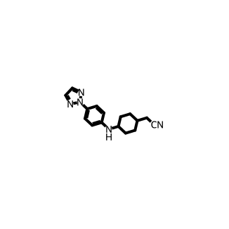 N#CCC1CCC(Nc2ccc(-n3nccn3)cc2)CC1